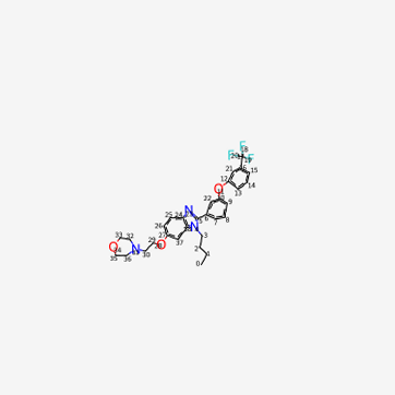 CCCCn1c(-c2cccc(Oc3cccc(C(F)(F)F)c3)c2)nc2ccc(OCCN3CCOCC3)cc21